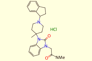 CNC(=O)Cn1c(=O)n(C2(C)CCN(C3CCc4ccccc43)CC2)c2ccccc21.Cl